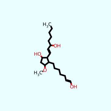 CCCCCC(O)/C=C/C1C(O)CC(OC)C1CCCCCC=CO